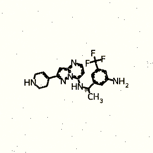 C[C@@H](Nc1ccnc2cc(C3=CCNCC3)nn12)c1cc(N)cc(C(F)(F)F)c1